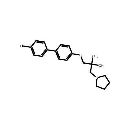 CC(O)(COc1ccc(-c2ccc(Cl)cc2)cc1)CN1CCCC1